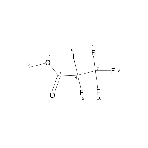 COC(=O)C(F)(I)C(F)(F)F